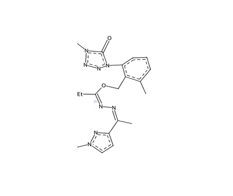 CC/C(=N/N=C(C)c1ccn(C)n1)OCc1c(C)cccc1-n1nnn(C)c1=O